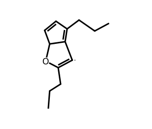 CCCC1=[C]C2=C(CCC)C=CC2O1